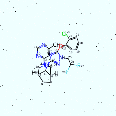 Cc1cc(N2C[C@H]3CC[C@@H](C2)C3Nc2nc(Oc3ccccc3Cl)n(CC(F)F)n2)ncn1